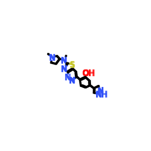 CN1CCC(N(C)c2nc3nnc(-c4ccc(-c5cn[nH]c5)cc4O)cc3s2)C1